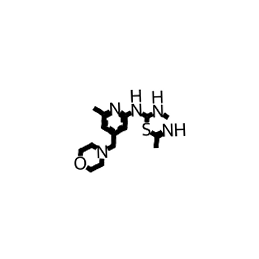 CNC(Nc1cc(CN2CCOCC2)cc(C)n1)SC(C)=N